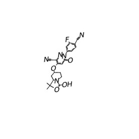 CC(C)(C)C1CC(Oc2cc(=O)n(-c3ccc(C#N)c(F)c3)nc2C#N)CCN1C(=O)O